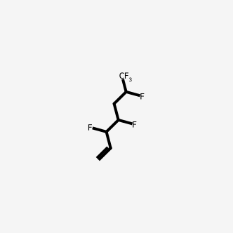 C=CC(F)C(F)CC(F)C(F)(F)F